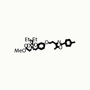 CCN(CC)S(=O)(=O)N(CC(=O)OC)Cc1ccc(OCCc2nc(-c3ccc(C)cc3)oc2C)cc1